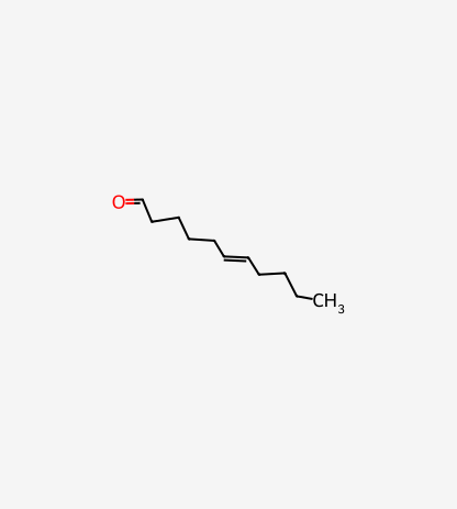 CCCCC=CCCCCC=O